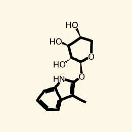 Cc1c(O[C@@H]2OC[C@H](O)[C@H](O)[C@H]2O)[nH]c2ccccc12